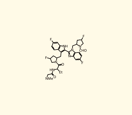 CCC(NC(=O)CNC)C(=O)N1CC(F)CC1Cc1c(-c2nc3cc(F)ccc3n2CC2CC(F)CN2C=O)[nH]c2cc(F)ccc12